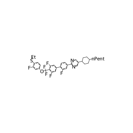 CCCCCC1CCC(c2cnc(-c3ccc(-c4cc(F)c(C(F)(F)Oc5ccc(SCC)c(F)c5)c(F)c4)c(F)c3)nc2)CC1